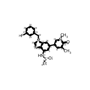 CC[S+]([O-])Nc1cc(-c2cc(C)c(=O)n(C)c2)cc2c1ncn2Cc1cccc(F)c1